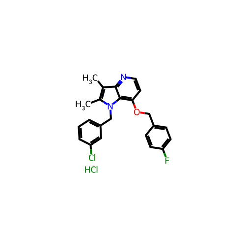 Cc1c(C)n(Cc2cccc(Cl)c2)c2c(OCc3ccc(F)cc3)ccnc12.Cl